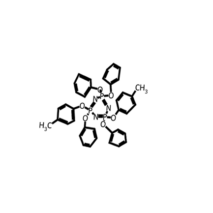 Cc1ccc(OP2(Oc3ccccc3)=NP(Oc3ccccc3)(Oc3ccccc3)=NP(Oc3ccccc3)(Oc3ccc(C)cc3)=N2)cc1